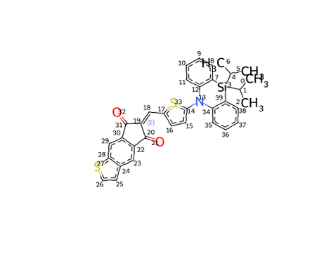 CC(C)[Si]1(C(C)C)c2ccccc2N(c2ccc(/C=C3\C(=O)c4cc5ccsc5cc4C3=O)s2)c2ccccc21